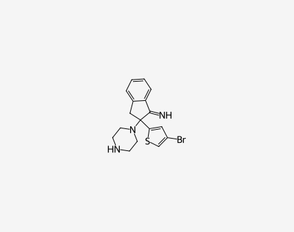 N=C1c2ccccc2CC1(c1cc(Br)cs1)N1CCNCC1